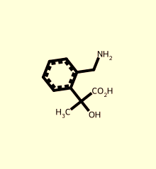 CC(O)(C(=O)O)c1ccccc1CN